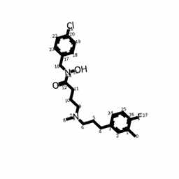 Cc1cc(CCCN(C)CCCC(=O)N(O)Cc2ccc(Cl)cc2)ccc1F